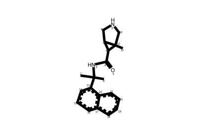 CC(C)(NC(=O)C1C2CNCC21C)c1cccc2ccccc12